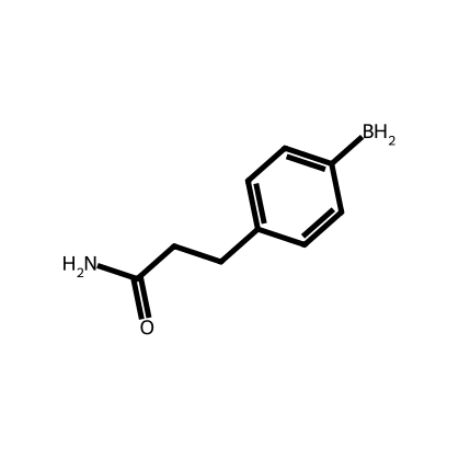 Bc1ccc(CCC(N)=O)cc1